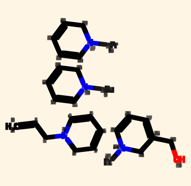 C=CCN1C=CC=CC1.CCCCN1C=CC=CC1.CCCN1C=CC=CC1.CCN1C=CC=C(CO)C1